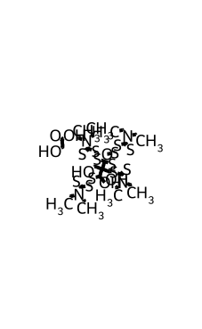 CCN(CC)C(=S)SSOC(SSC(=S)N(CC)CC)(SSC(=S)N(CC)CC)C(CO)(CO)C(O)SSC(=S)N(CC)CC.O=C(O)CO